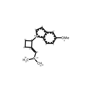 COc1ccc2c(ccn2C2CC/C2=C\N(C)C)c1